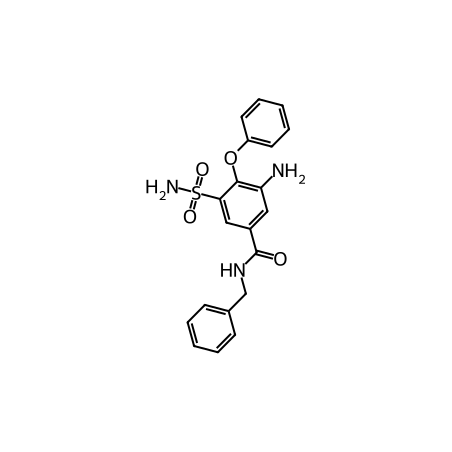 Nc1cc(C(=O)NCc2ccccc2)cc(S(N)(=O)=O)c1Oc1ccccc1